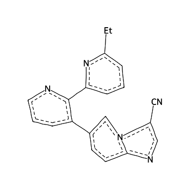 CCc1cccc(-c2ncccc2-c2ccc3ncc(C#N)n3c2)n1